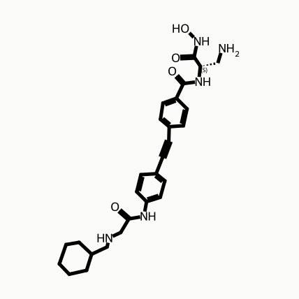 NC[C@H](NC(=O)c1ccc(C#Cc2ccc(NC(=O)CNCC3CCCCC3)cc2)cc1)C(=O)NO